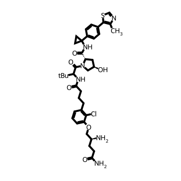 Cc1ncsc1-c1ccc(C2(NC(=O)[C@@H]3C[C@@H](O)CN3C(=O)C(NC(=O)CCCc3cccc(OC[C@@H](N)CCC(N)=O)c3Cl)C(C)(C)C)CC2)cc1